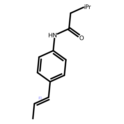 C/C=C/c1ccc(NC(=O)CC(C)C)cc1